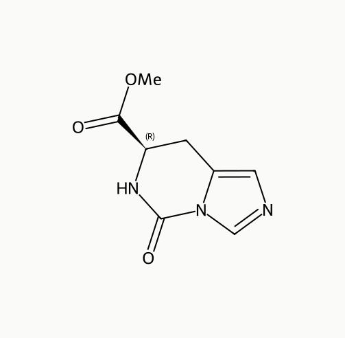 COC(=O)[C@H]1Cc2cncn2C(=O)N1